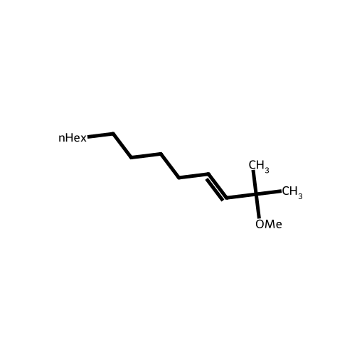 [CH2]CCCCCCCCCC=CC(C)(C)OC